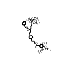 COc1cc(C(=O)OCCCC2CCN(CCC(CCCO[Si](C)(C)C(C)(C)C)O/N=C/c3ccccc3)CC2)cc(O)c1OC